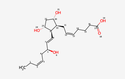 CC/C=C\C[C@H](O)/C=C/[C@@H]1[C@H](C/C=C\CCCC(=O)O)[C@@H](O)C[C@H]1O